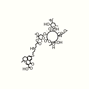 CCC1OC(=O)[C@H](C)[C@@H](OC2CC(C)(OC)C(OC(=O)CCNCCSc3cc4c5c(c3)c(=O)c(C(=O)O)cn5C(C)CC4)[C@H](C)O2)[C@H](C)[C@@H](O[C@@H]2O[C@H](C)C[C@H](N(C)C)[C@H]2O)[C@](C)(O)C[C@@H](C)/C(=N\OCOC)[C@H](C)[C@@H](O)C1(C)O